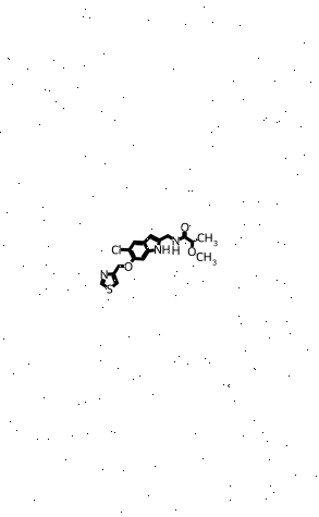 CO[C@H](C)C(=O)NCc1cc2cc(Cl)c(OCc3cscn3)cc2[nH]1